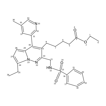 CCOC(=O)CCCCc1c(CNS(=O)(=O)c2ccccc2)nn2c(CC)ccc2c1-c1cncc(C)c1